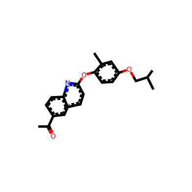 CC(=O)c1ccc2nc(Oc3ccc(OCC(C)C)cc3C)ccc2c1